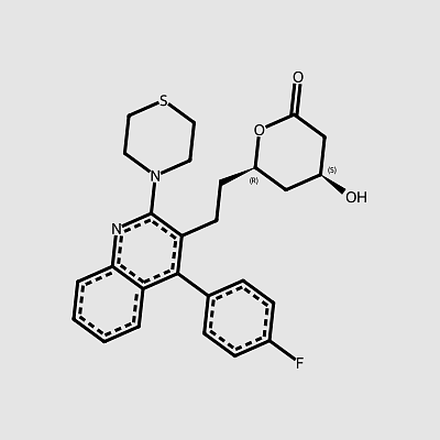 O=C1C[C@@H](O)C[C@@H](CCc2c(N3CCSCC3)nc3ccccc3c2-c2ccc(F)cc2)O1